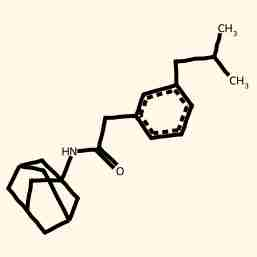 CC(C)Cc1cccc(CC(=O)NC23CC4CC(CC(C4)C2)C3)c1